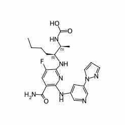 CCCC[C@H](Nc1nc(Nc2cncc(-n3cccn3)c2)c(C(N)=O)cc1F)[C@H](C)NC(=O)O